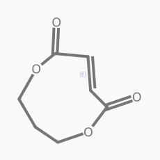 O=C1/C=C/C(=O)OCCCO1